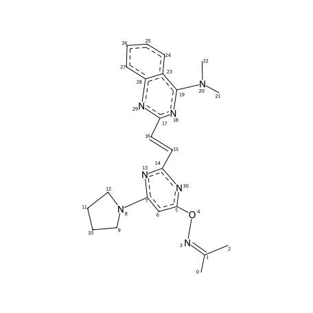 CC(C)=NOc1cc(N2CCCC2)nc(/C=C/c2nc(N(C)C)c3ccccc3n2)n1